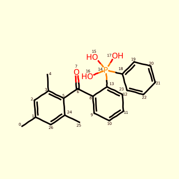 Cc1cc(C)c(C(=O)c2ccccc2P(O)(O)(O)c2ccccc2)c(C)c1